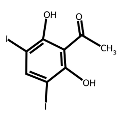 CC(=O)c1c(O)c(I)cc(I)c1O